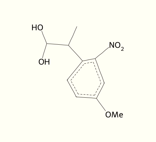 COc1ccc(C(C)C(O)O)c([N+](=O)[O-])c1